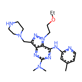 CCOCCn1nc(CN2CCNCC2)c2nc(N(C)C)nc(Nc3cc(C)ccn3)c21